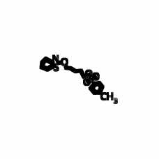 Cc1ccc(S(=O)(=O)OCCCCCOc2nc3ccccc3s2)cc1